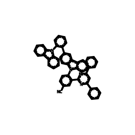 N#Cc1ccc(-n2c3ccccc3c3cc(-c4ccccc4-n4c5ccccc5c5ccccc54)ccc32)c(-c2nc(-c3ccccc3)cc(-c3ccccc3)n2)c1